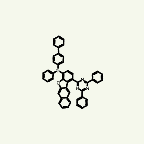 c1ccc(-c2ccc(N(c3ccccc3)c3ccc(-c4nc(-c5ccccc5)nc(-c5ccccc5)n4)c4c3oc3cc5ccccc5cc34)cc2)cc1